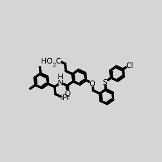 Cc1cc(C)cc(C(CC(C)C)NC(=O)c2cc(OCc3ccccc3Sc3ccc(Cl)cc3)ccc2CCC(=O)O)c1